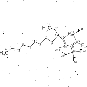 CCCCCCCCCP(CC)c1cc(F)c(F)c(C(F)(F)F)c1F